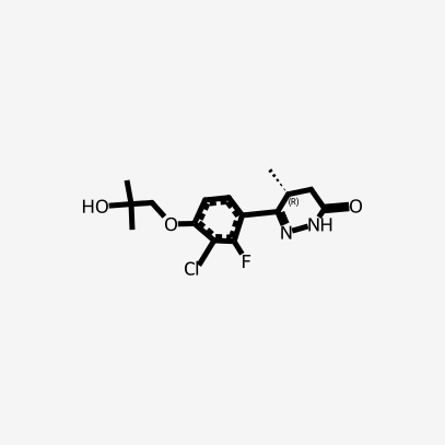 C[C@@H]1CC(=O)NN=C1c1ccc(OCC(C)(C)O)c(Cl)c1F